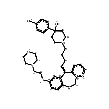 OC1(c2ccc(Cl)cc2)CCN(CCC/C=C2/c3cc(OCCN4CCOCC4)ccc3OCc3ncccc32)CC1